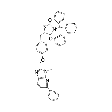 Cn1c(COc2ccc(CC3SC(=O)N(C(c4ccccc4)(c4ccccc4)c4ccccc4)C3=O)cc2)nc2ccc(-c3ccccc3)nc21